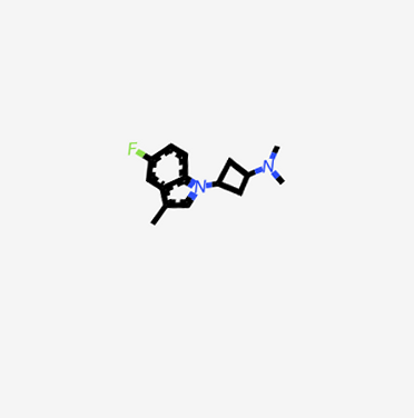 Cc1cn(C2CC(N(C)C)C2)c2ccc(F)cc12